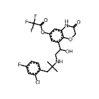 CC(C)(Cc1ccc(F)cc1Cl)NCC(O)c1cc(OC(=O)C(F)(F)F)cc2c1OCC(=O)N2